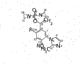 Cc1nccn1-c1cc(C(C)OP(=O)(N2CC2)N2CC2)c(F)cc1[N+](=O)[O-]